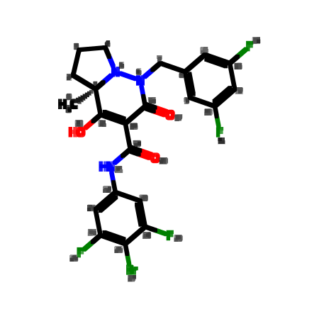 C[C@]12CCCN1N(Cc1cc(F)cc(F)c1)C(=O)C(C(=O)Nc1cc(F)c(Br)c(F)c1)=C2O